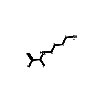 C=C(C)C(C)NCCCCS